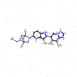 Cc1c(-c2[nH]c3ccc(N4C[C@H]5C[C@@H]4CN5CC#N)nc3c2C(C)C)cn2ncnc2c1C